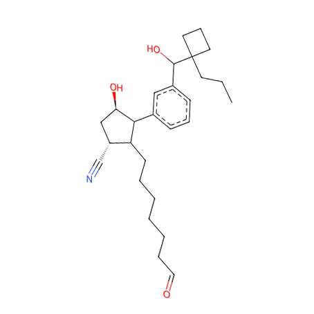 CCCC1(C(O)c2cccc(C3C(CCCCCCC=O)[C@H](C#N)C[C@H]3O)c2)CCC1